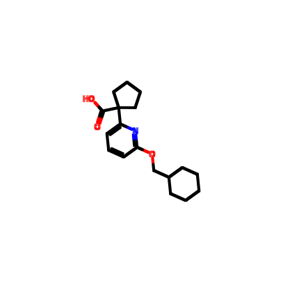 O=C(O)C1(c2cccc(OCC3CCCCC3)n2)CCCC1